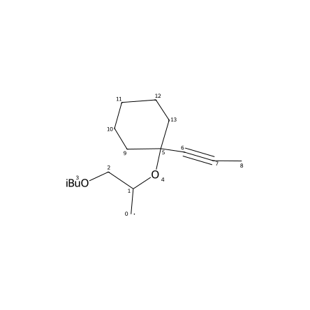 [CH2]C(COCC(C)C)OC1(C#CC)CCCCC1